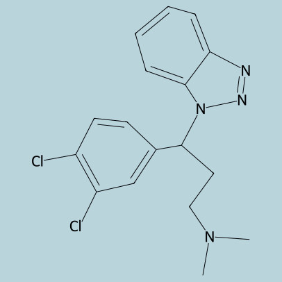 CN(C)CCC(c1ccc(Cl)c(Cl)c1)n1nnc2ccccc21